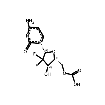 Nc1ccn([C@@H]2O[C@H](COC(=O)O)[C@@H](O)C2(F)F)c(=O)n1